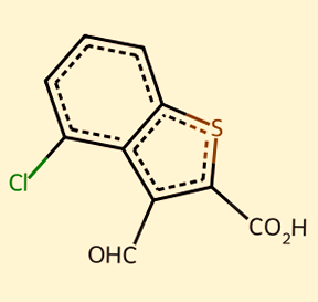 O=Cc1c(C(=O)O)sc2cccc(Cl)c12